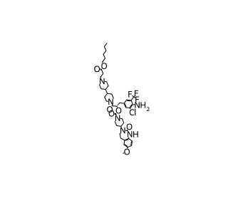 CCCCCCOC(=O)CCN1CCC(C2CCN(C(=O)[C@@H](Cc3cc(Cl)c(N)c(C(F)(F)F)c3)OC(=O)N3CCC(N4CCc5cc(OC)ccc5NC4=O)CC3)CC2)CC1